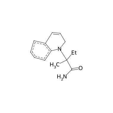 CCC(C)(C(N)=O)N1CC=Cc2ccccc21